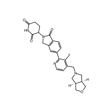 O=C1CCC(N2Cc3cc(-c4nccc(CN5C[C@H]6COC[C@H]6C5)c4F)ccc3C2=O)C(=O)N1